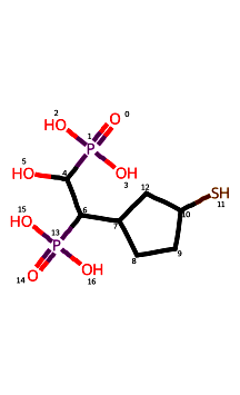 O=P(O)(O)C(O)C(C1CCC(S)C1)P(=O)(O)O